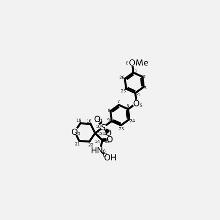 COc1ccc(Oc2ccc(S(=O)(=O)C3(C(=O)NO)CCOCC3)cc2)cc1